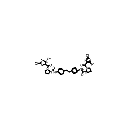 CC(C)c1sc(Cl)nc1C(=O)N1CCC[C@H]1C(=O)Nc1ccc(CCC2C=CC(NC(=O)[C@@H]3CCCN3C(=O)C3N=C(Cl)S[C@@H]3C(C)C)=CC2)cc1